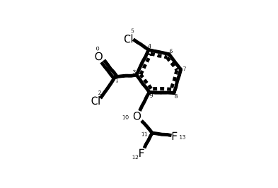 O=C(Cl)c1c(Cl)cccc1OC(F)F